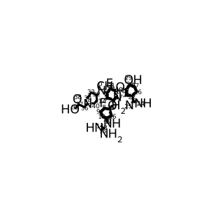 CN(c1c(F)c(Oc2cccc(NC(=N)N)c2)nc(Oc2cc(C(=N)N)ccc2O)c1F)C1CCN(CC(=O)O)CC1